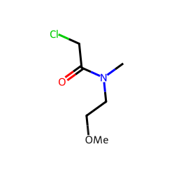 COCCN(C)C(=O)CCl